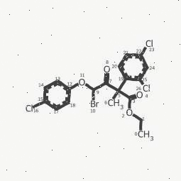 CCOC(=O)C(C)(C(=O)C(Br)Oc1ccc(Cl)cc1)c1ccc(Cl)cc1Cl